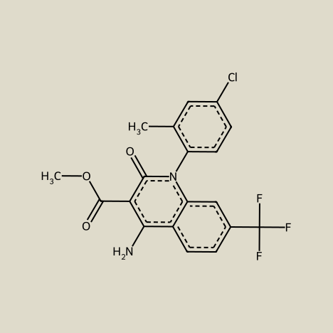 COC(=O)c1c(N)c2ccc(C(F)(F)F)cc2n(-c2ccc(Cl)cc2C)c1=O